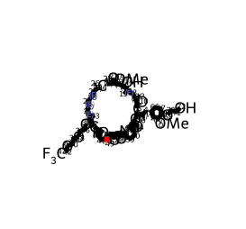 CO[C@@H]1C[C@H](C[C@@H](C)[C@@H]2CC(=O)[C@H](C)/C=C(\C)[C@@H](O)[C@@H](OC)C(=O)[C@H](C)C[C@H](C)/C=C/C=C/C=C(\C)[C@@H](OCCOCCOCC(F)(F)F)C[C@@H]3CC[C@@H](C)[C@@](C)(O3)C(=O)C(=O)N3CCCC[C@H]3C(=O)O2)CC[C@H]1OCCO